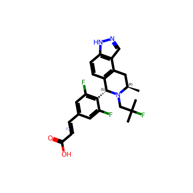 C[C@@H]1Cc2c(ccc3[nH]ncc23)[C@@H](c2c(F)cc(/C=C/C(=O)O)cc2F)N1CC(C)(C)F